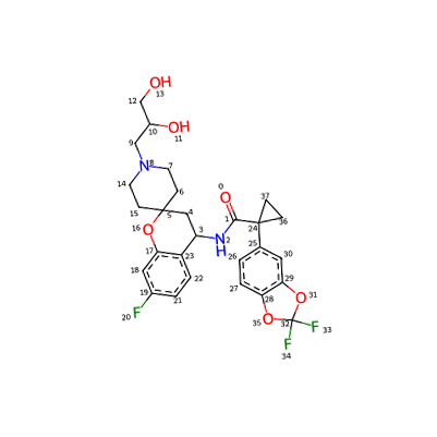 O=C(NC1CC2(CCN(CC(O)CO)CC2)Oc2cc(F)ccc21)C1(c2ccc3c(c2)OC(F)(F)O3)CC1